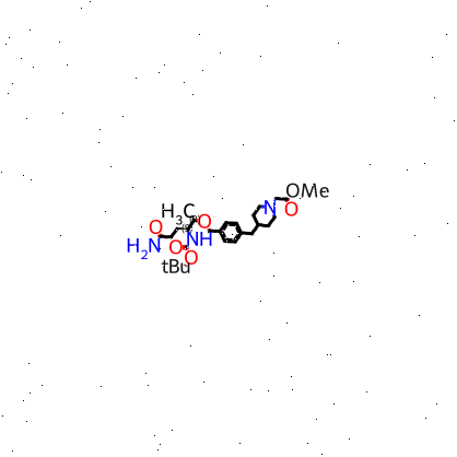 COC(=O)CN1CCC(Cc2ccc(CO[C@H](C)[C@H](CCC(N)=O)NC(=O)OC(C)(C)C)cc2)CC1